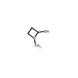 [CH2]N1CCC1O